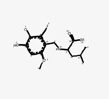 COc1cc(O)c(Cl)c(F)c1CNC(CC(C)C)C(=O)O